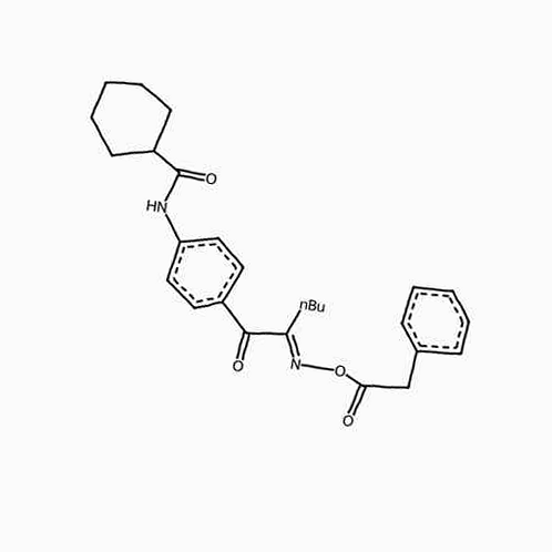 CCCC/C(=N\OC(=O)Cc1ccccc1)C(=O)c1ccc(NC(=O)C2CCCCC2)cc1